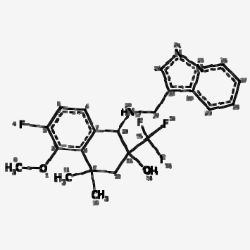 COc1c(F)ccc2c1C(C)(C)CC(O)(C(F)(F)F)C2NCc1cnn2ccccc12